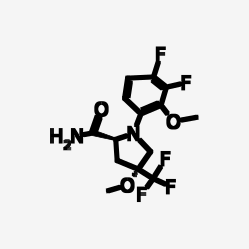 COc1c(N2C[C@@](OC)(C(F)(F)F)C[C@H]2C(N)=O)ccc(F)c1F